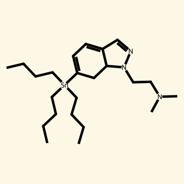 CCC[CH2][Sn]([CH2]CCC)([CH2]CCC)[C]1=CC=C2C=NN(CCN(C)C)C2C1